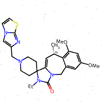 CCN1C(=O)N2Cc3cc(OC)cc(OC)c3[C@@H](C)C=C2C12CCN(Cc1cn3ccsc3n1)CC2